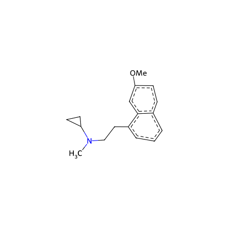 COc1ccc2cccc(CCN(C)C3CC3)c2c1